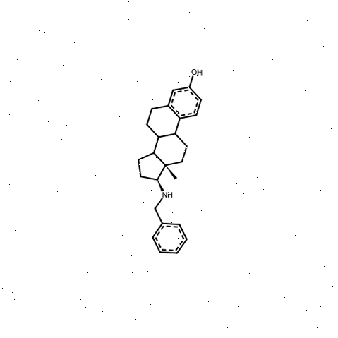 C[C@]12CCC3c4ccc(O)cc4CCC3C1CC[C@@H]2NCc1ccccc1